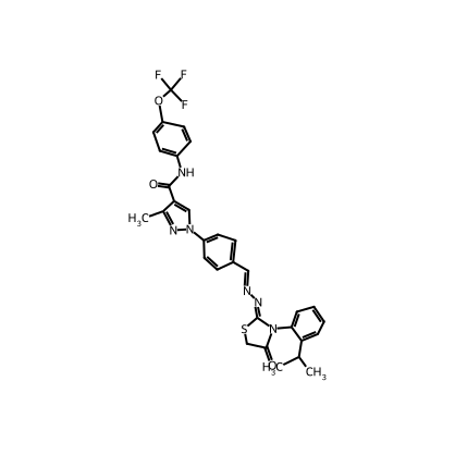 Cc1nn(-c2ccc(/C=N/N=C3\SCC(=O)N3c3ccccc3C(C)C)cc2)cc1C(=O)Nc1ccc(OC(F)(F)F)cc1